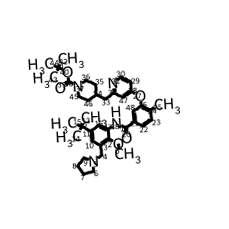 COc1c(CN2CCCC2)cc(C(C)(C)C)cc1NC(=O)c1ccc(C)c(Oc2ccnc(CC3CCN(C(=O)OC(C)(C)C)CC3)c2)c1